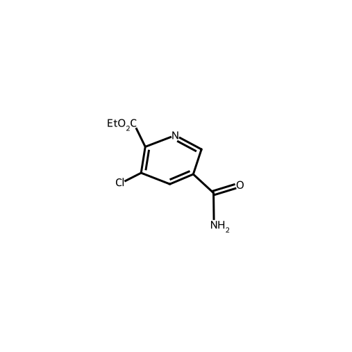 CCOC(=O)c1ncc(C(N)=O)cc1Cl